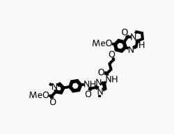 COC(=O)c1cc(-c2ccc(NC(=O)c3nc(NC(=O)CCCOc4cc5c(cc4OC)C(=O)N4CCC[C@H]4C=N5)cn3C)cc2)cn1C